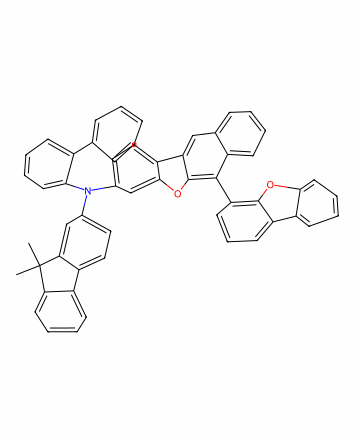 CC1(C)c2ccccc2-c2ccc(N(c3ccc4c(c3)oc3c(-c5cccc6c5oc5ccccc56)c5ccccc5cc34)c3ccccc3-c3ccccc3)cc21